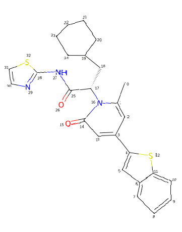 Cc1cc(-c2cc3ccccc3s2)cc(=O)n1[C@@H](CC1CCCCC1)C(=O)Nc1nccs1